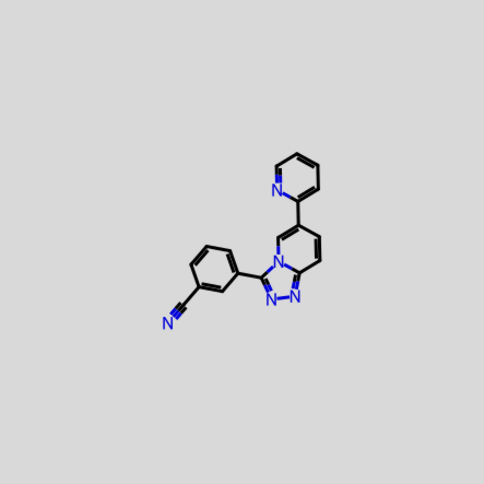 N#Cc1cccc(-c2nnc3ccc(-c4ccccn4)cn23)c1